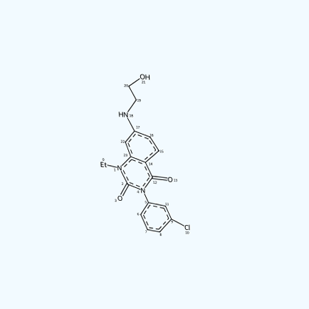 CCn1c(=O)n(-c2cccc(Cl)c2)c(=O)c2ccc(NCCO)cc21